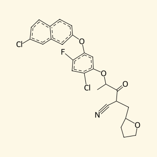 CC(Oc1cc(Oc2ccc3ccc(Cl)cc3c2)c(F)cc1Cl)C(=O)C(C#N)CC1CCCO1